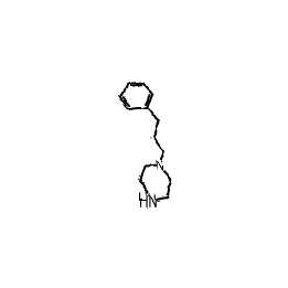 [CH](Cc1ccccc1)CN1CCNCC1